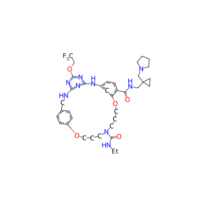 CCNC(=O)N1CCCOc2ccc(cc2)CNc2nc(nc(OCC(F)(F)F)n2)Nc2ccc(C(=O)NCC3(CN4CCCC4)CC3)c(c2)OCCC1